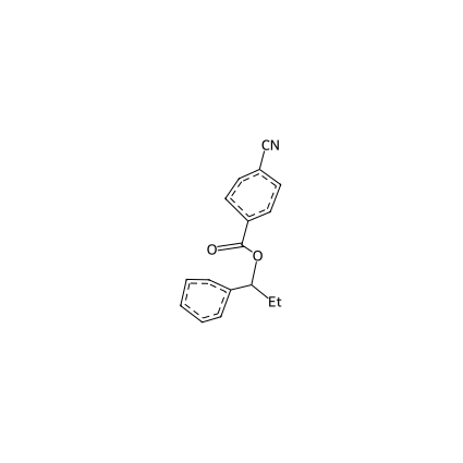 CCC(OC(=O)c1ccc(C#N)cc1)c1ccccc1